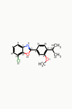 COc1cc(-c2nc3cccc(Cl)c3o2)ccc1C(C)C